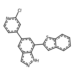 Clc1cc(-c2cc(-c3cc4ccccc4s3)c3[nH]ncc3c2)ccn1